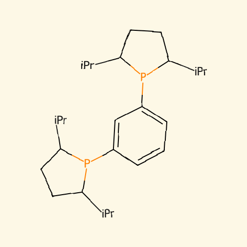 CC(C)C1CCC(C(C)C)P1c1cccc(P2C(C(C)C)CCC2C(C)C)c1